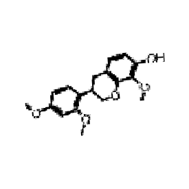 COc1ccc(C2COc3c(ccc(O)c3OC)C2)c(OC)c1